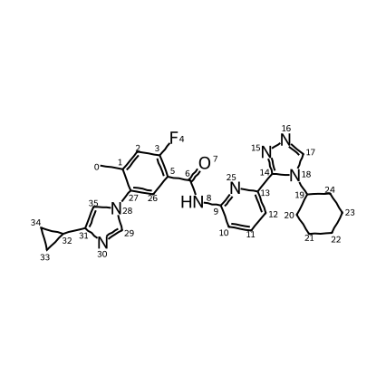 Cc1cc(F)c(C(=O)Nc2cccc(-c3nncn3C3CCCCC3)n2)cc1-n1cnc(C2CC2)c1